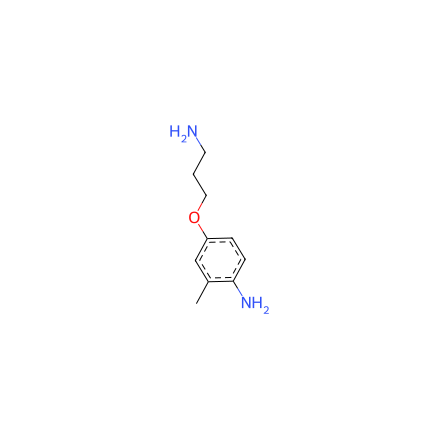 Cc1cc(OCCCN)ccc1N